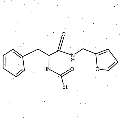 CCC(=O)NC(Cc1ccccc1)C(=O)NCc1ccco1